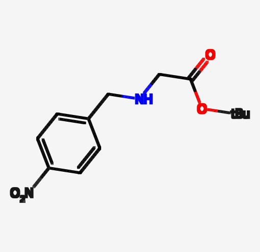 CC(C)(C)OC(=O)CNCc1ccc([N+](=O)[O-])cc1